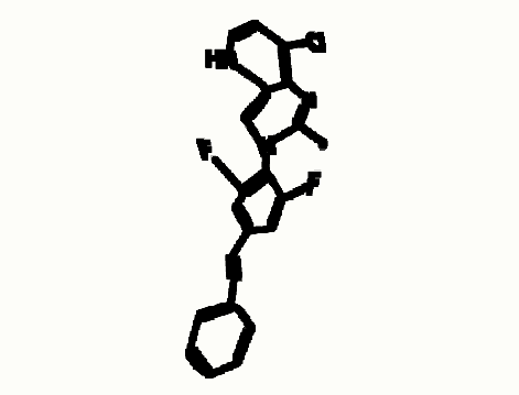 CC1=NC2=C(Cl)C=CNC2=CN1c1c(F)cc(C#Cc2ccccc2)cc1F